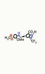 COc1cc(S(C)(=O)=O)ccc1NCC#Cc1cc(C(=O)O)c2ncn(CC(F)(F)F)c2c1